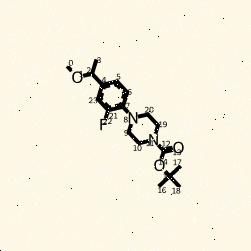 COC(C)c1ccc(N2CCN(C(=O)OC(C)(C)C)CC2)c(F)c1